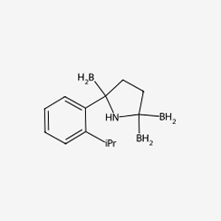 BC1(B)CCC(B)(c2ccccc2C(C)C)N1